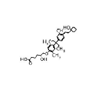 CCC(CC)(c1ccc(C=CC2(O)CCC2)c(C)c1)c1ccc(OC[C@@H](O)CCCC(=O)O)c(C)c1